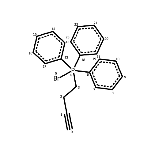 C#CCCP(Br)(c1ccccc1)(c1ccccc1)c1ccccc1